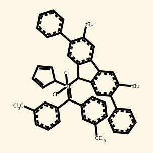 CC(C)(C)c1cc2c(cc1-c1ccccc1)[CH]([Zr]([Cl])([Cl])(=[C](c1cccc(C(Cl)(Cl)Cl)c1)c1cccc(C(Cl)(Cl)Cl)c1)[CH]1C=CC=C1)c1cc(-c3ccccc3)c(C(C)(C)C)cc1-2